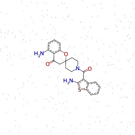 Nc1cccc2c1C(=O)CC1(CCN(C(=O)c3c(N)sc4ccccc34)CC1)O2